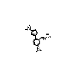 CON=Cc1cc(N(C)C)ccc1C1=CC(N(C)C)=CC1